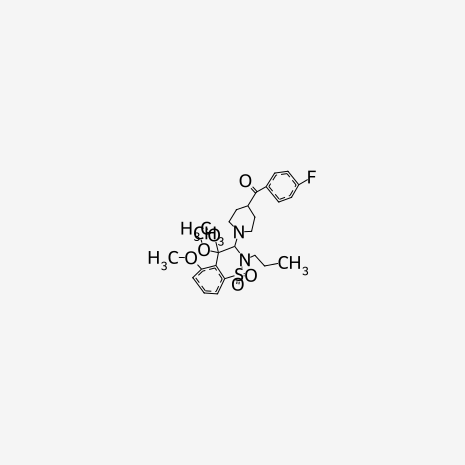 CCCN1C(N2CCC(C(=O)c3ccc(F)cc3)CC2)C(OC)(OC)c2c(OC)cccc2S1(=O)=O